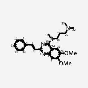 COc1cc2nc(C=Cc3ccccc3)nc(N(C)CCCN(C)C)c2cc1OC